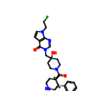 O=C([C@@H]1CCNC[C@H]1c1ccccc1)N1CCC(O)(Cn2cnc3c(ccn3CCF)c2=O)CC1